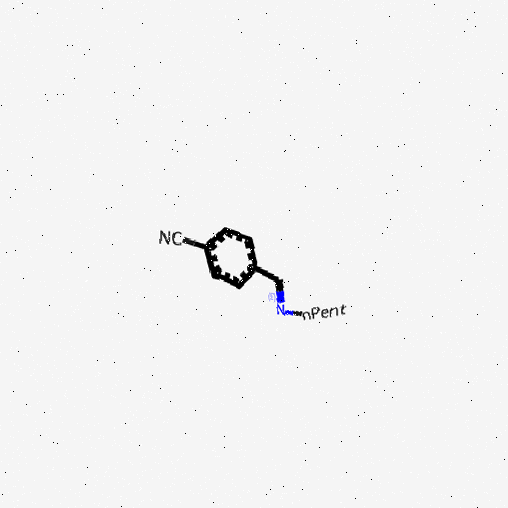 CCCCC/N=C/c1ccc(C#N)cc1